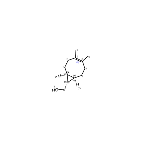 C/C1=C(\C)CC[C@H]2[C@H](CO)[C@H]2CC1